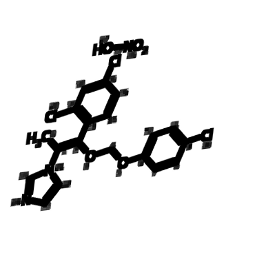 CC(=C(OCOc1ccc(Cl)cc1)c1ccc(Cl)cc1Cl)n1ccnc1.O=[N+]([O-])O